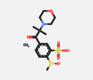 C.C[S+]([O-])c1ccc(C(=O)C(C)(C)N2CCOCC2)cc1S(=O)(=O)O